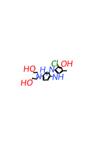 Cc1cc(Nc2ccc(N(CCO)CCO)cc2)c(N)c(Cl)c1O